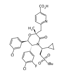 CC(C)(C)S(=O)(=O)C[C@H](C1CC1)N1C(=O)[C@@](C)(Cc2ccc(C(=O)O)cn2)O[C@H](c2cccc(Cl)c2)[C@H]1c1ccc(Cl)c(F)c1